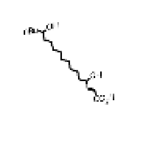 CCCCC(O)CCCCCCCCCC(O)C=CC(=O)O